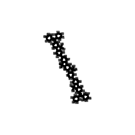 CC1(C)C2=CC3c4ccc(-c5ccc6c(c5)C(C)(C)c5cc(N(c7ccccc7)C7C=CC=CC7)ccc5-6)cc4C(C)(C)C3C=C2c2ccc(-c3ccc4c(c3)C(C)(C)c3cc(N(C5=CC=CCC5)C5C=CC=CC5)ccc3-4)cc21